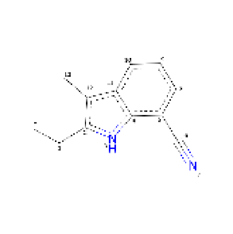 CCc1[nH]c2c(C#N)cccc2c1C